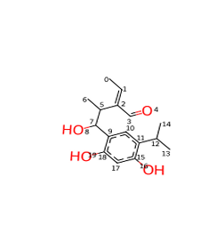 C/C=C(/C=O)C(C)C(O)c1cc(C(C)C)c(O)cc1O